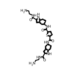 NCCNC(=O)c1cc2cc(NC(=O)c3ccc(C(=O)Nc4ccc5[nH]c(C(=O)NCCN)cc5c4)s3)ccc2[nH]1